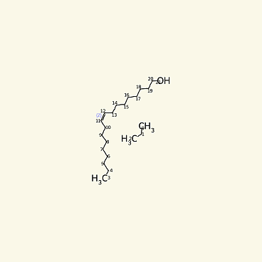 CCC.CCCCCCCC/C=C\CCCCCCCCO